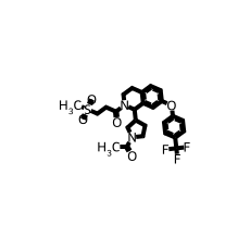 CC(=O)N1CCC(C2c3cc(Oc4ccc(C(F)(F)F)cc4)ccc3CCN2C(=O)CCS(C)(=O)=O)C1